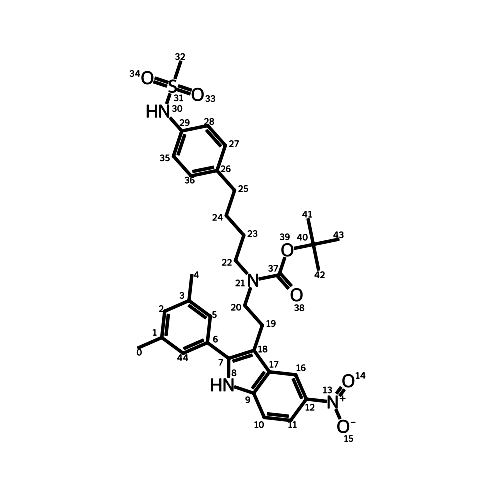 Cc1cc(C)cc(-c2[nH]c3ccc([N+](=O)[O-])cc3c2CCN(CCCCc2ccc(NS(C)(=O)=O)cc2)C(=O)OC(C)(C)C)c1